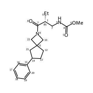 CC[C@H](CNC(=O)OC)C(=O)N1CC2(CCC(c3ccccc3)C2)C1